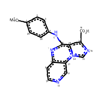 COc1ccc(Nc2nc3ccncc3n3cnc(C(=O)O)c23)cc1